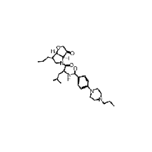 CCC[C@@H]1CN(C(=O)C(CC(C)C)NC(=O)c2ccc(N3CCN(CCC)CC3)cc2)[C@@H]2C(=O)CO[C@H]12